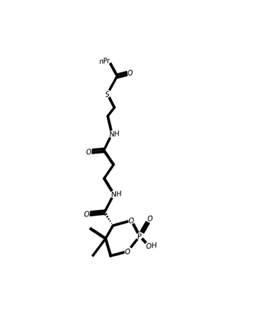 CCCC(=O)SCCNC(=O)CCNC(=O)[C@@H]1OP(=O)(O)OCC1(C)C